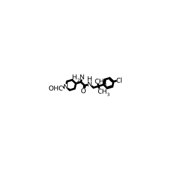 CC(C)(CNC(=O)C(N)C1CCN(C=O)CC1)c1ccc(Cl)cc1